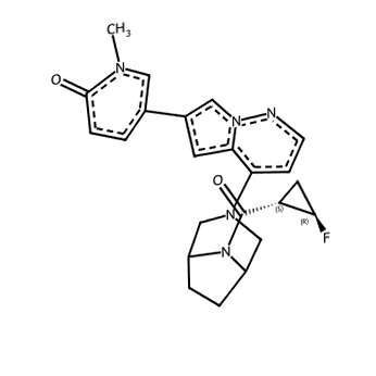 Cn1cc(-c2cc3c(N4CC5CCC(C4)N5C(=O)[C@@H]4C[C@H]4F)ccnn3c2)ccc1=O